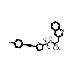 O=C(O)[C@H](Cc1cnc2ccccc2c1)NS(=O)(=O)C1CC=C(C#Cc2ccc(F)cc2)S1